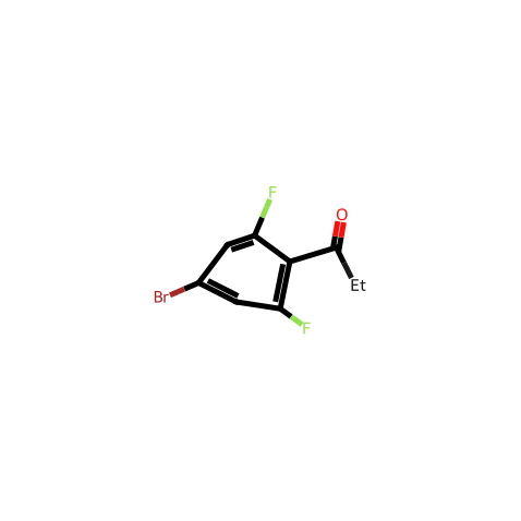 CCC(=O)c1c(F)cc(Br)cc1F